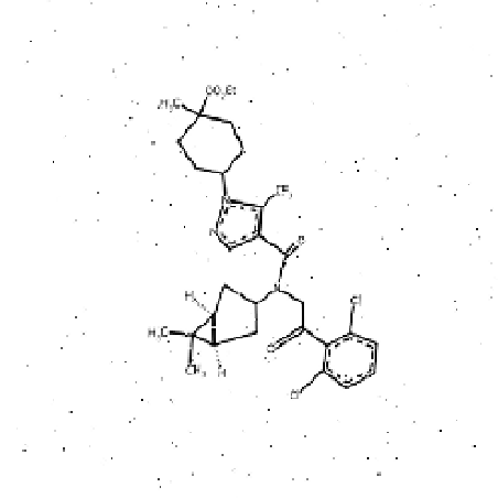 CCOC(=O)C1(C)CCC(n2ncc(C(=O)N(CC(=O)c3c(Cl)cccc3Cl)C3C[C@@H]4[C@H](C3)C4(C)C)c2C(F)(F)F)CC1